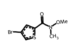 CON(C)C(=O)c1cc(Br)cs1